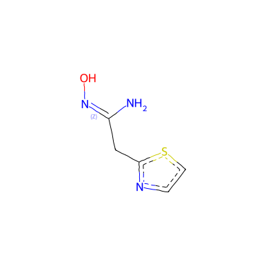 N/C(Cc1nccs1)=N\O